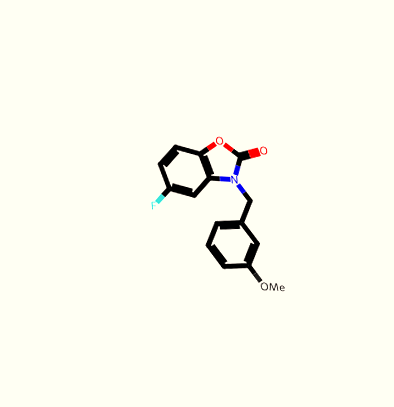 COc1cccc(Cn2c(=O)oc3ccc(F)cc32)c1